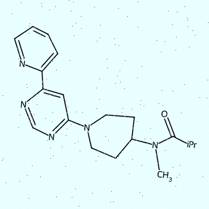 CC(C)C(=O)N(C)C1CCN(c2cc(-c3ccccn3)ncn2)CC1